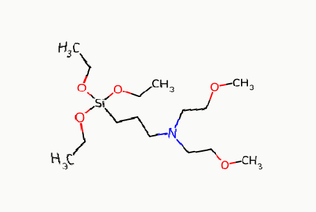 CCO[Si](CCCN(CCOC)CCOC)(OCC)OCC